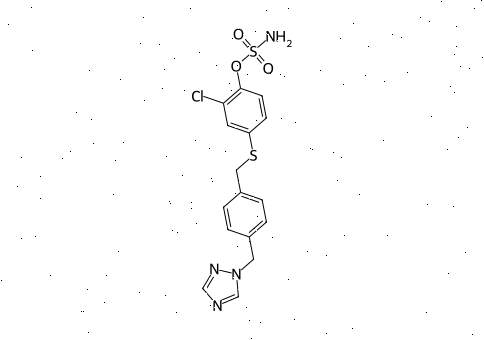 NS(=O)(=O)Oc1ccc(SCc2ccc(Cn3cncn3)cc2)cc1Cl